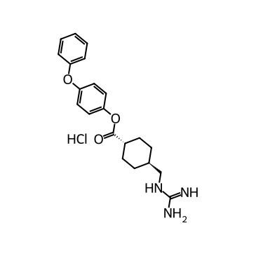 Cl.N=C(N)NC[C@H]1CC[C@H](C(=O)Oc2ccc(Oc3ccccc3)cc2)CC1